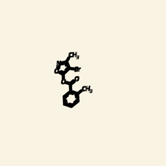 Cc1ccccc1C(=O)Oc1onc(C)c1Br